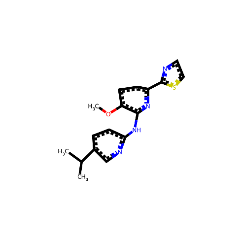 COc1ccc(-c2nccs2)nc1Nc1ccc(C(C)C)cn1